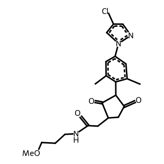 COCCCNC(=O)CC1CC(=O)C(c2c(C)cc(-n3cc(Cl)cn3)cc2C)C1=O